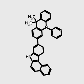 CC1(C)c2ccccc2N(c2ccccc2)c2cc(C3=Cc4[nH]c5ccc6ccccc6c5c4CC3)ccc21